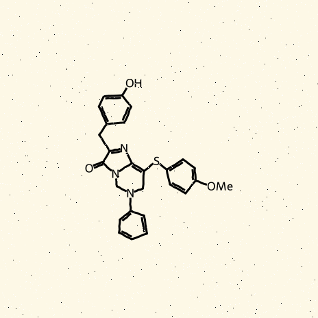 COc1ccc(SC2=C3N=C(Cc4ccc(O)cc4)C(=O)N3CN(c3ccccc3)C2)cc1